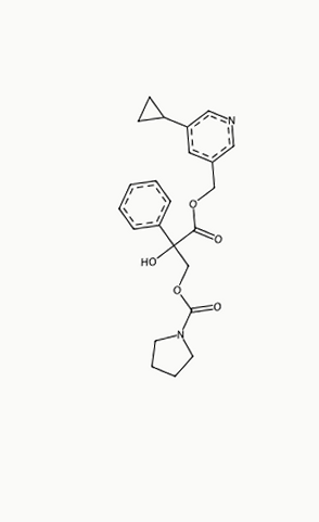 O=C(OCC(O)(C(=O)OCc1cncc(C2CC2)c1)c1ccccc1)N1CCCC1